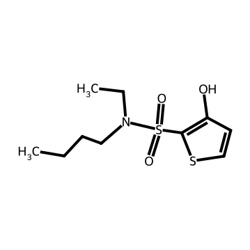 CCCCN(CC)S(=O)(=O)c1sccc1O